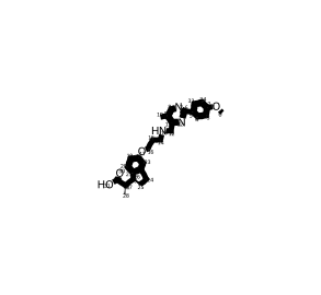 COc1ccc(-c2ncc(C)c(CNCCCOc3ccc4c(c3)CC[C@H]4[C@H](C)C(=O)O)n2)cc1